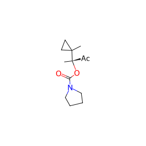 CC(=O)[C@](C)(OC(=O)N1CCCC1)C1(C)CC1